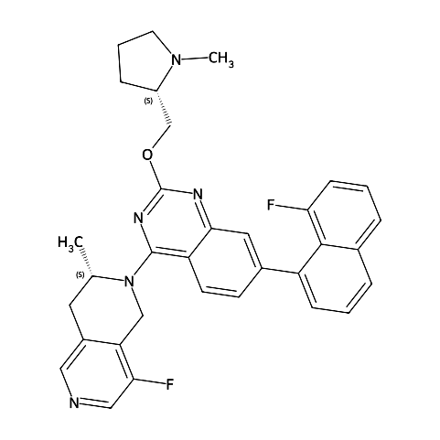 C[C@H]1Cc2cncc(F)c2CN1c1nc(OC[C@@H]2CCCN2C)nc2cc(-c3cccc4cccc(F)c34)ccc12